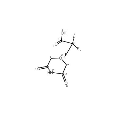 O=C(O)C(F)(F)F.O=C1COCC(=O)N1